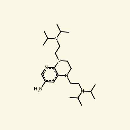 CC(C)N(CCN1CCN(CCN(C(C)C)C(C)C)c2ncc(N)cc21)C(C)C